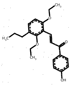 CCCc1ccc(OCC)c(C=CC(=O)c2ccc(O)cc2)c1OCC